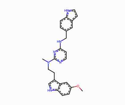 COc1ccc2[nH]cc(CCN(C)c3nccc(NCc4ccc5[nH]ccc5c4)n3)c2c1